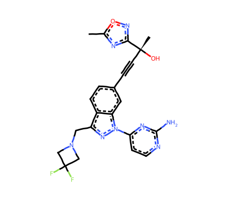 Cc1nc([C@](C)(O)C#Cc2ccc3c(CN4CC(F)(F)C4)nn(-c4ccnc(N)n4)c3c2)no1